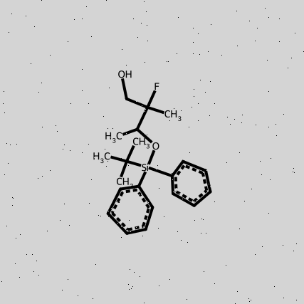 CC(O[Si](c1ccccc1)(c1ccccc1)C(C)(C)C)C(C)(F)CO